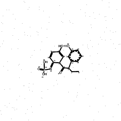 CCC(C(=O)C1C=C(O)C=C/C1=N\P(=O)(O)O)c1cccc(O)c1